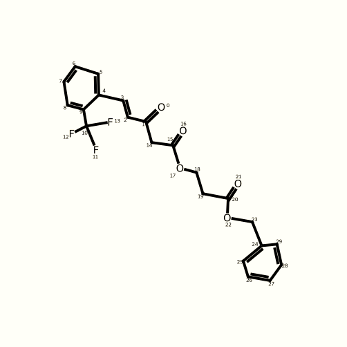 O=C(C=Cc1ccccc1C(F)(F)F)CC(=O)OCCC(=O)OCc1ccccc1